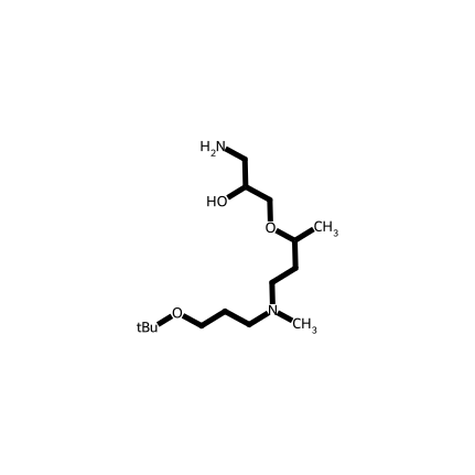 CC(CCN(C)CCCOC(C)(C)C)OCC(O)CN